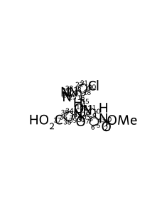 COC(=O)Nc1cccc2c1CCN(C(=O)/C=C/c1cc(Cl)ccc1-n1cnnc1)C2C(=O)Nc1ccc(C(=O)O)cc1